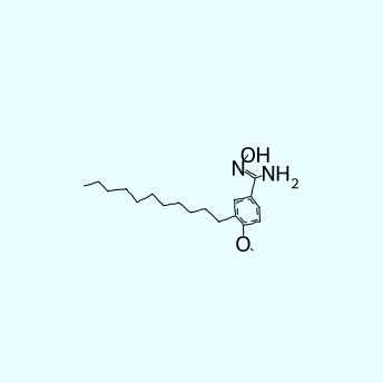 CCCCCCCCCCCc1cc(/C(N)=N/O)ccc1OC